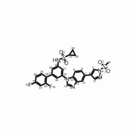 CS(=O)(=O)n1cc(-c2ccc3c(c2)ncn3-c2cc(NS(=O)(=O)C3CC3)cc(-c3ccc(F)cc3F)c2)cn1